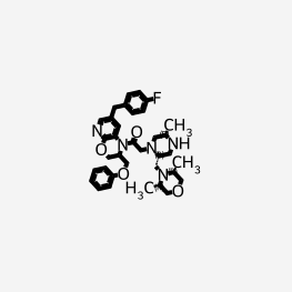 C[C@@H]1CN(CC(=O)N2c3cc(Cc4ccc(F)cc4)cnc3OCC2COc2ccccc2)[C@@H](CN2[C@H](C)COC[C@H]2C)CN1